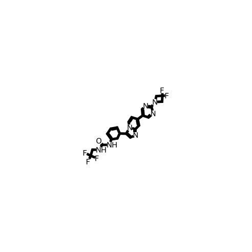 O=C(NCC(F)(F)F)NC1=CC=CC(c2cnc3cc(-c4cnc(N5CC(F)(F)C5)nc4)ccn23)C1